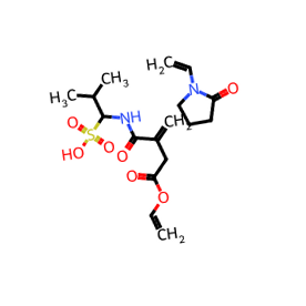 C=CN1CCCC1=O.C=COC(=O)CC(=C)C(=O)NC(C(C)C)S(=O)(=O)O